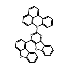 c1ccc2c(c1)-c1cccc3cccc(c13)N2c1nc(-c2cccc3oc4ccccc4c23)c2oc3ccccc3c2n1